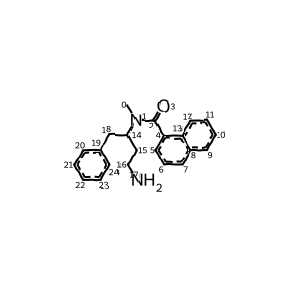 CN(C(=O)c1cccc2ccccc12)C(CCN)Cc1ccccc1